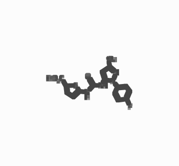 CCOC(=O)c1ccc(NC(=O)Nc2cc(C(C)(C)C)nn2-c2ccc(F)cc2)s1